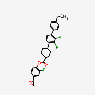 CCc1ccc(-c2ccc(C3CCC(C(=O)Oc4ccc(C5CO5)cc4F)CC3)c(F)c2F)cc1